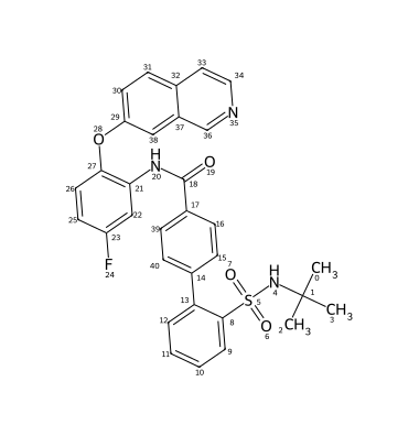 CC(C)(C)NS(=O)(=O)c1ccccc1-c1ccc(C(=O)Nc2cc(F)ccc2Oc2ccc3ccncc3c2)cc1